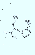 CCOC(=O)C(C)C.O.Oc1ccccc1